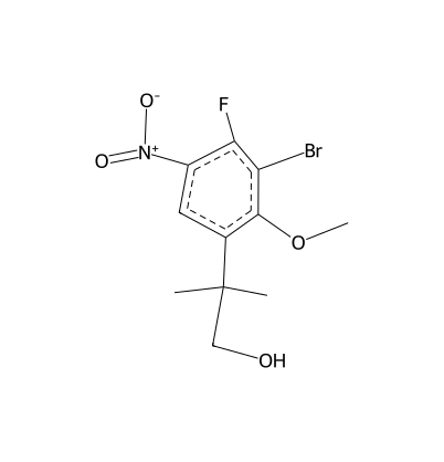 COc1c(C(C)(C)CO)cc([N+](=O)[O-])c(F)c1Br